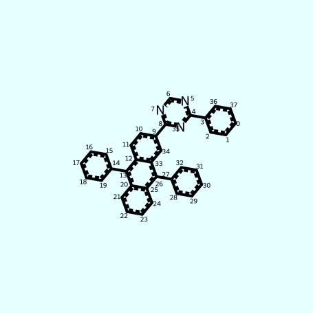 c1ccc(-c2ncnc(-c3ccc4c(-c5ccccc5)c5ccccc5c(-c5ccccc5)c4c3)n2)cc1